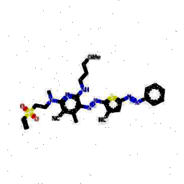 C=CS(=O)(=O)CCN(C)c1nc(NCCCOC)c(/N=N/c2sc(/N=N/c3ccccc3)cc2C#N)c(C)c1C#N